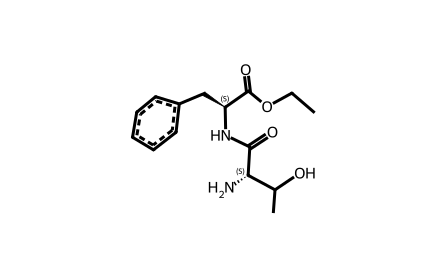 CCOC(=O)[C@H](Cc1ccccc1)NC(=O)[C@@H](N)C(C)O